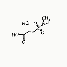 CNS(=O)(=O)CCC(=O)O.Cl